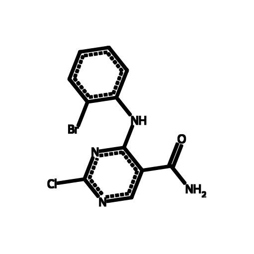 NC(=O)c1cnc(Cl)nc1Nc1ccccc1Br